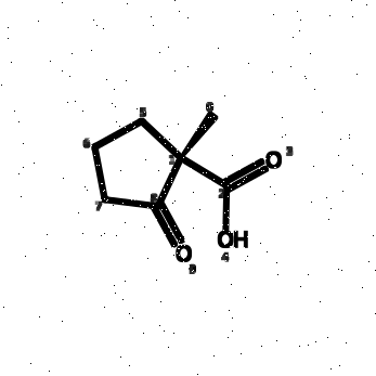 C[C@]1(C(=O)O)CCCC1=O